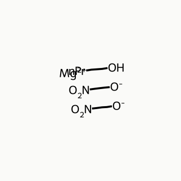 CCCO.O=[N+]([O-])[O-].O=[N+]([O-])[O-].[Mg+2]